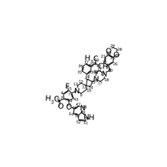 CC(=O)c1cc(F)c(N2CCC3(CC2)CC(N2CCN(Cc4ccc5c(c4)OCCO5)C[C@H]2c2ccccc2C(C)C)C3)cc1Oc1cnc2[nH]ccc2c1